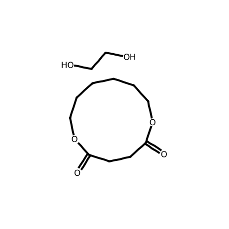 O=C1CCC(=O)OCCCCCCO1.OCCO